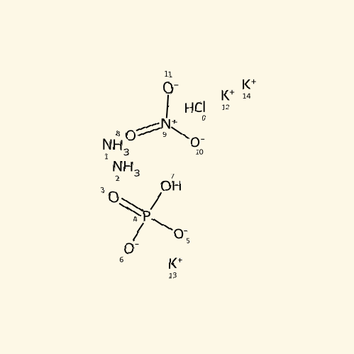 Cl.N.N.O=P([O-])([O-])O.O=[N+]([O-])[O-].[K+].[K+].[K+]